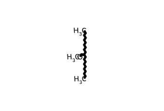 CCCCCCCCCCC(=COC)CCCCCCCCCC